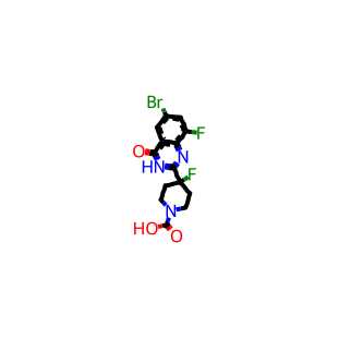 O=C(O)N1CCC(F)(c2nc3c(F)cc(Br)cc3c(=O)[nH]2)CC1